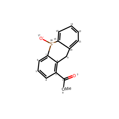 COC(=O)c1cccc2c1Cc1ccccc1[S+]2[O-]